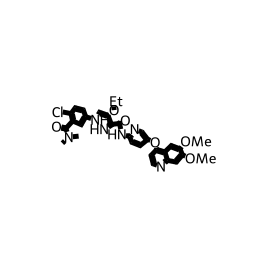 CCO/C(=C/Nc1ccc(Cl)c(C(=O)N(C)C)c1)C(=N)C(=O)Nc1ccc(Oc2ccnc3cc(OC)c(OC)cc23)cn1